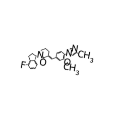 COc1cc(/C=C2\CCCN([C@H]3CCc4c(F)cccc43)C2=O)ccc1-n1cnc(C)c1